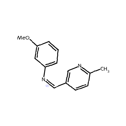 COc1cccc(/N=C\c2ccc(C)nc2)c1